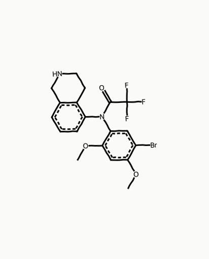 COc1cc(OC)c(N(C(=O)C(F)(F)F)c2cccc3c2CCNC3)cc1Br